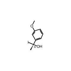 COc1cccc([C@](C)(O)I)c1